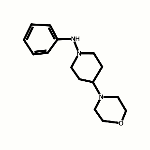 c1ccc(NN2CCC(N3CCOCC3)CC2)cc1